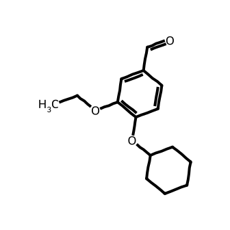 CCOc1cc(C=O)ccc1OC1CCCCC1